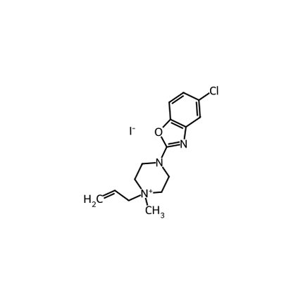 C=CC[N+]1(C)CCN(c2nc3cc(Cl)ccc3o2)CC1.[I-]